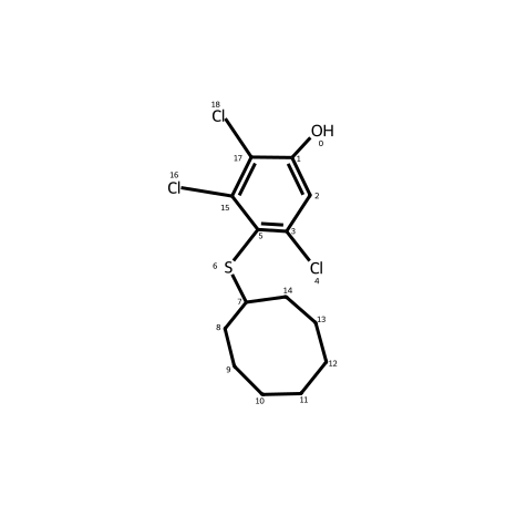 Oc1cc(Cl)c(SC2CCCCCCC2)c(Cl)c1Cl